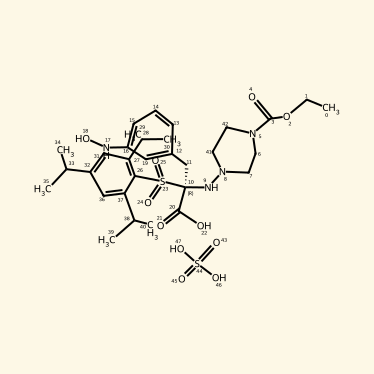 CCOC(=O)N1CCN(N[C@@](Cc2cccc(NO)c2)(C(=O)O)S(=O)(=O)c2c(C(C)C)cc(C(C)C)cc2C(C)C)CC1.O=S(=O)(O)O